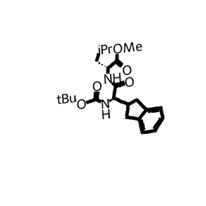 COC(=O)[C@@H](CC(C)C)NC(=O)[C@H](NC(=O)OC(C)(C)C)C1Cc2ccccc2C1